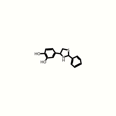 Oc1ccc(C2CSC(c3ccccc3)N2)cc1O